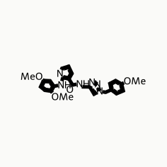 COc1ccc(Cn2cc(CNC(=O)c3cccnc3Nc3cc(OC)ccc3OC)nn2)cc1